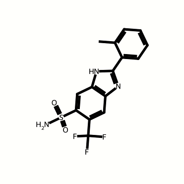 Cc1ccccc1-c1nc2cc(C(F)(F)F)c(S(N)(=O)=O)cc2[nH]1